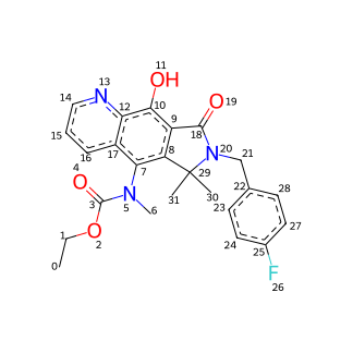 CCOC(=O)N(C)c1c2c(c(O)c3ncccc13)C(=O)N(Cc1ccc(F)cc1)C2(C)C